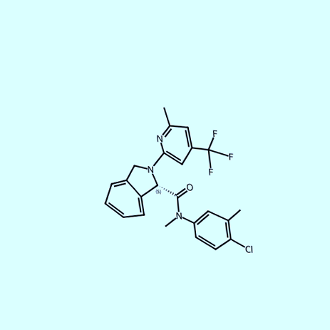 Cc1cc(C(F)(F)F)cc(N2Cc3ccccc3[C@H]2C(=O)N(C)c2ccc(Cl)c(C)c2)n1